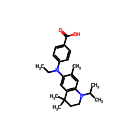 CCN(c1ccc(C(=O)O)cc1)c1cc2c(cc1C)N(C(C)C)CCC2(C)C